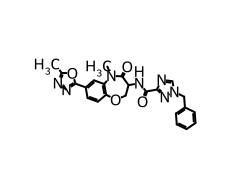 Cc1nnc(-c2ccc3c(c2)N(C)C(=O)C(NC(=O)c2ncn(Cc4ccccc4)n2)CO3)o1